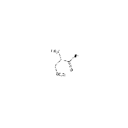 CCOC(=O)CC(C(=O)O)C(=O)C(C)C